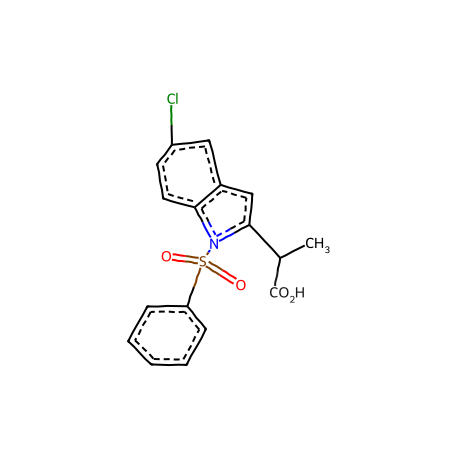 CC(C(=O)O)c1cc2cc(Cl)ccc2n1S(=O)(=O)c1ccccc1